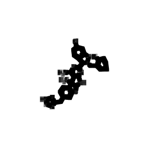 CC1(c2ccc(Cc3nn[nH]n3)cc2)C(=O)Nc2nc(C3c4ccc(Cl)cc4NN3Cc3ccccc3F)nc(N)c21